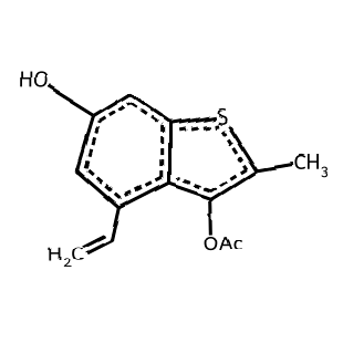 C=Cc1cc(O)cc2sc(C)c(OC(C)=O)c12